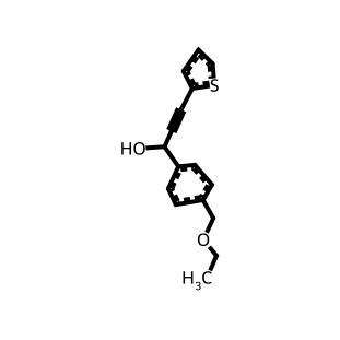 CCOCc1ccc(C(O)C#Cc2cccs2)cc1